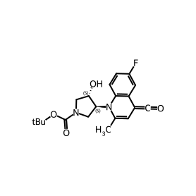 CC1=CC(=C=O)c2cc(F)ccc2N1[C@H]1CN(C(=O)OC(C)(C)C)C[C@@H]1O